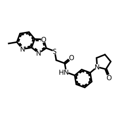 Cc1ccc2oc(SCC(=O)Nc3cccc(N4CCCC4=O)c3)nc2n1